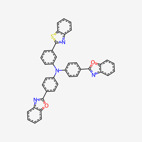 c1cc(-c2nc3ccccc3s2)cc(N(c2ccc(-c3nc4ccccc4o3)cc2)c2ccc(-c3nc4ccccc4o3)cc2)c1